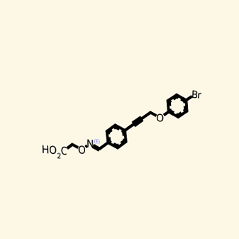 O=C(O)CO/N=C/c1ccc(C#CCOc2ccc(Br)cc2)cc1